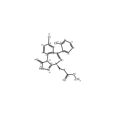 COC(=O)CC[C@@H]1N=C(c2ccccc2Cl)c2cc(Cl)ccc2-n2c1n[nH]c2=S